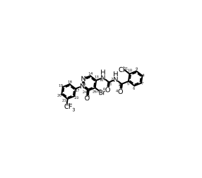 O=C(NC(=O)c1ccccc1Cl)Nc1cnn(-c2cccc(C(F)(F)F)c2)c(=O)c1Br